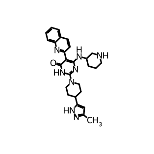 Cc1cc(C2CCN(c3nc(NC4CCCNC4)c(-c4ccc5ccccc5n4)c(=O)[nH]3)CC2)[nH]n1